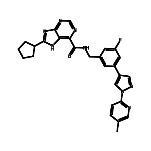 Cc1ccc(-n2cc(-c3cc(F)cc(CNC(=O)c4ncnc5nc(C6CCCC6)[nH]c45)c3)cn2)nc1